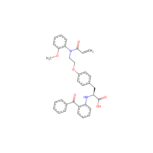 C=CC(=O)N(CCOc1ccc(C[C@H](Nc2ccccc2C(=O)c2ccccc2)C(=O)O)cc1)c1ccccc1OC